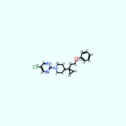 Clc1cnc(N2CCC(C3(CCOc4cc[c]cc4)CC3)CC2)nc1